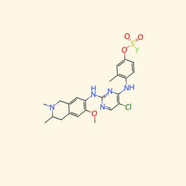 COc1cc2c(cc1Nc1ncc(Cl)c(Nc3ccc(OS(=O)(=O)F)cc3C)n1)CN(C)C(C)C2